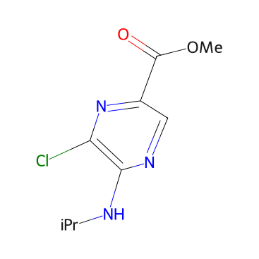 COC(=O)c1cnc(NC(C)C)c(Cl)n1